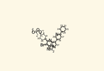 COC(=O)C[C@]1(OC)CC[C@@H](c2nc3c(-c4ccc(-c5ccccc5)nc4)cnn3c(N)c2Br)CC1